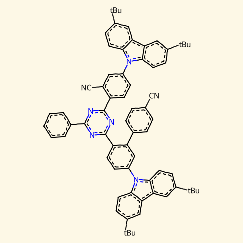 CC(C)(C)c1ccc2c(c1)c1cc(C(C)(C)C)ccc1n2-c1ccc(-c2nc(-c3ccccc3)nc(-c3ccc(-n4c5ccc(C(C)(C)C)cc5c5cc(C(C)(C)C)ccc54)cc3-c3ccc(C#N)cc3)n2)c(C#N)c1